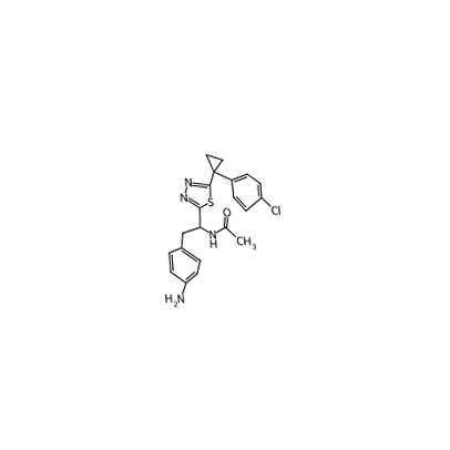 CC(=O)NC(Cc1ccc(N)cc1)c1nnc(C2(c3ccc(Cl)cc3)CC2)s1